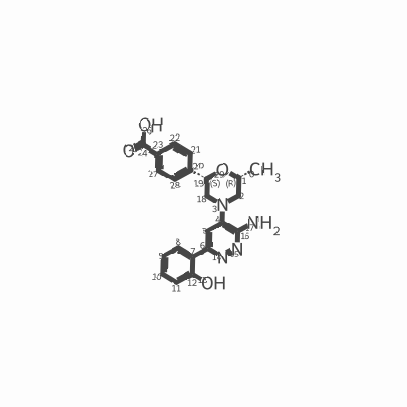 C[C@@H]1CN(c2cc(-c3ccccc3O)nnc2N)C[C@H](c2ccc(C(=O)O)cc2)O1